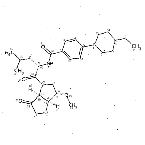 CCN1CCN(c2ccc(C(=O)N[C@@H](CC(C)C)C(=O)N3C[C@H](OC)[C@H]4OCC(=O)[C@H]43)cc2)CC1